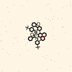 CC(C)(C)c1ccc(N2B3c4oc5ccccc5c4N(c4ccc(C(C)(C)C)cc4-c4ccccc4)c4cc5ccccc5c(c43)-c3ccc4oc5ccccc5c4c32)cc1